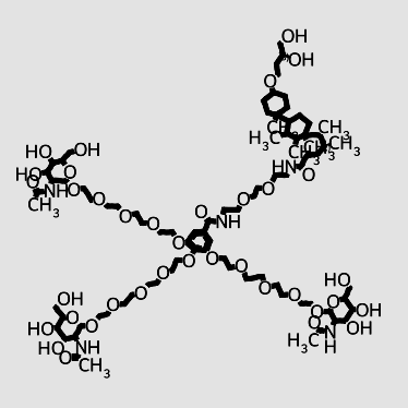 CC(=O)NC1C(OCCOCCOCCOCCOc2cc(C(=O)NCCOCCOCCNC(=O)CC[C@@H](C)C(C)C3(C)CCC(C4(C)CCC(OCC[C@H](O)CO)CC4)C(C)C3C)cc(OCCOCCOCCOCCOC3OC(CO)C(O)C(O)C3NC(C)=O)c2OCCOCCOCCOCCOC2OC(CO)C(O)C(O)C2NC(C)=O)OC(CO)C(O)C1O